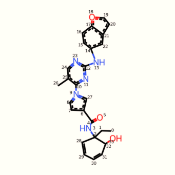 CCC1(NC(=O)c2ccn(-c3nc(Nc4ccc5occc5c4)ncc3C)c2)C=CC=CC1O